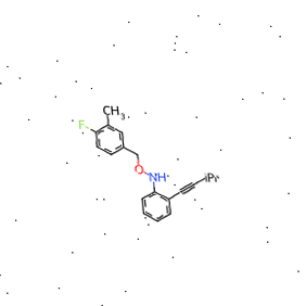 Cc1cc(CONc2ccccc2C#CC(C)C)ccc1F